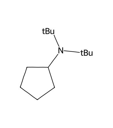 CC(C)(C)N(C1CCCC1)C(C)(C)C